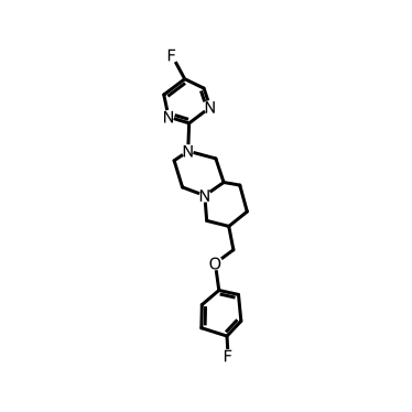 Fc1ccc(OCC2CCC3CN(c4ncc(F)cn4)CCN3C2)cc1